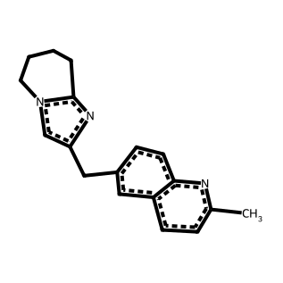 Cc1ccc2cc(Cc3cn4c(n3)CCCC4)ccc2n1